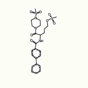 CS(=O)(=O)OCCCC(NC(=O)c1ccc(-c2ccccc2)cc1)C(=O)N1CCN(S(C)(=O)=O)CC1